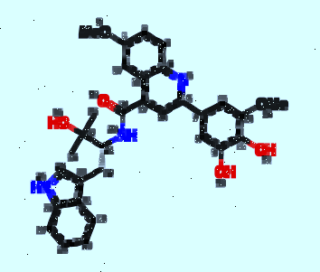 COc1ccc2nc(-c3cc(O)c(O)c(OC)c3)cc(C(=O)N[C@H](Cc3c[nH]c4ccccc34)C(C)(C)O)c2c1